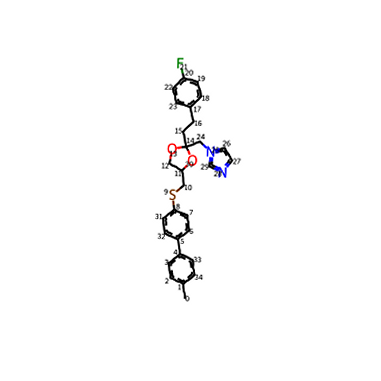 Cc1ccc(-c2ccc(SCC3COC(CCc4ccc(F)cc4)(Cn4ccnc4)O3)cc2)cc1